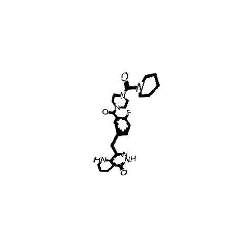 O=C(c1cc(Cc2n[nH]c(=O)c3c2NCCC3)ccc1F)N1CCN(C(=O)N2CCCCC2)CC1